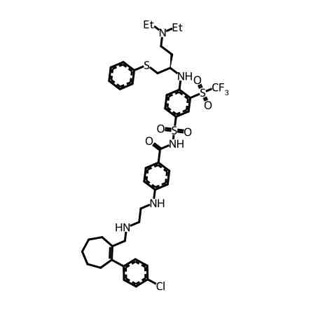 CCN(CC)CC[C@H](CSc1ccccc1)Nc1ccc(S(=O)(=O)NC(=O)c2ccc(NCCNCC3=C(c4ccc(Cl)cc4)CCCCC3)cc2)cc1S(=O)(=O)C(F)(F)F